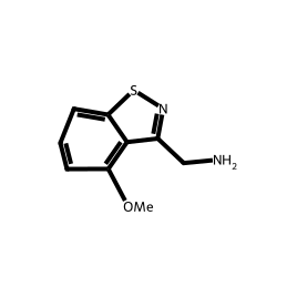 COc1cccc2snc(CN)c12